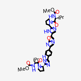 COC(=O)N[C@H](C(=O)N1CCCC1c1ncc(-c2cn3cc(-c4ccc(-c5cnc([C@@H]6CCCN6C(=O)[C@@H](NC(=O)OC)C(C)C)[nH]5)cc4)nc3o2)[nH]1)C(C)C